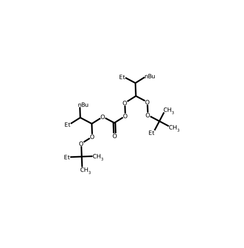 CCCCC(CC)C(OOC(=O)OC(OOC(C)(C)CC)C(CC)CCCC)OOC(C)(C)CC